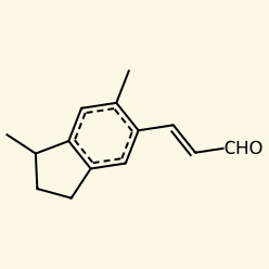 Cc1cc2c(cc1C=CC=O)CCC2C